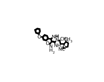 CC(CC1C(C)CCN1C#N)N/C(N)=C(\C(=N)c1ccc(Oc2ccccc2)cc1)C(N)=O